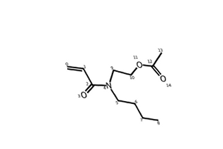 C=CC(=O)N(CCCC)CCOC(C)=O